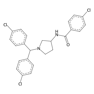 O=C(NC1CCN(C(c2ccc(Cl)cc2)c2ccc(Cl)cc2)C1)c1ccc(Cl)cc1